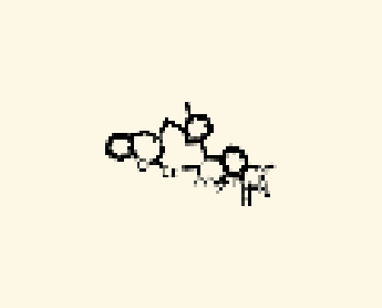 CCOC(=O)C(C)[C@H](c1ccc(C)c(CN2Cc3ccccc3OC(CC)C2)c1)c1ccc2c(c1C)NN(C)N2C